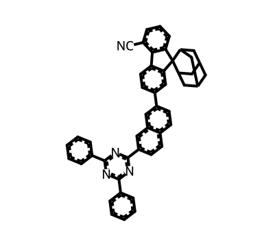 N#Cc1cccc2c1-c1ccc(-c3ccc4ccc(-c5nc(-c6ccccc6)nc(-c6ccccc6)n5)cc4c3)cc1C21C2CC3CC(C2)CC1C3